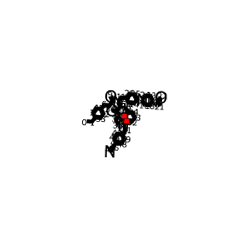 CCc1ccc(C=CC(=O)N(Cc2ccc(N3CCN(C(C)=O)CC3)cc2)[C@@H](Cc2ccccc2)C(=O)N2CCN(Cc3ccc(C#N)cc3)CC2)cc1